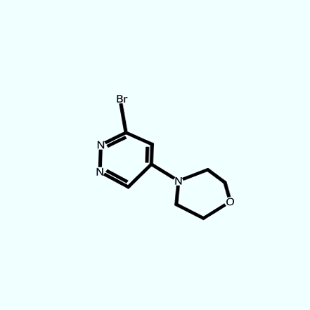 Brc1cc(N2CCOCC2)cnn1